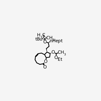 CCCCCCC[C@@H](CC[C@@H]1C2C/C=C\CCCC(=O)OC2C[C@H]1OC(C)OCC)O[Si](C)(C)C(C)(C)C